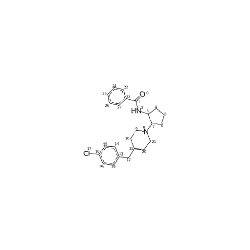 O=C(NC1CCCC1N1CCC(Cc2ccc(Cl)cc2)CC1)c1ccccc1